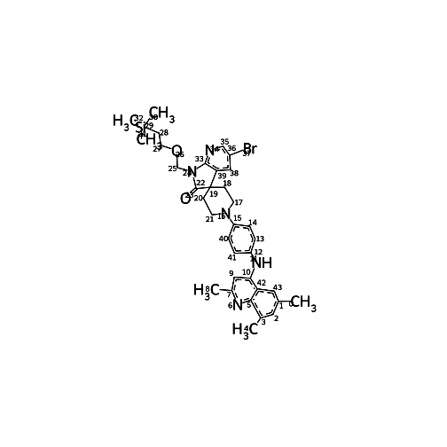 Cc1cc(C)c2nc(C)cc(Nc3ccc(N4CCC5(CC4)C(=O)N(COCC[Si](C)(C)C)c4ncc(Br)cc45)cc3)c2c1